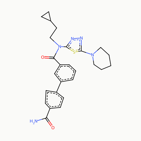 NC(=O)c1ccc(-c2cccc(C(=O)N(CCC3CC3)c3nnc(N4CCCCC4)s3)c2)cc1